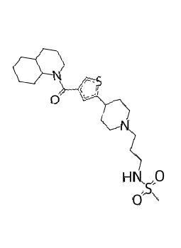 CS(=O)(=O)NCCCN1CCC(c2cc(C(=O)N3CCCC4CCCCC43)cs2)CC1